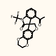 CC(=O)c1cccc2c1C1(COc3cc4c(cc31)OCCO4)C(=O)N2C(F)(F)F